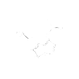 NCCc1c[nH]c2ccccc12.OB(O)O